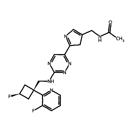 CC(=O)NCC1=CN=C(c2cnc(NC[C@]3(c4ncccc4F)C[C@H](F)C3)nn2)C1